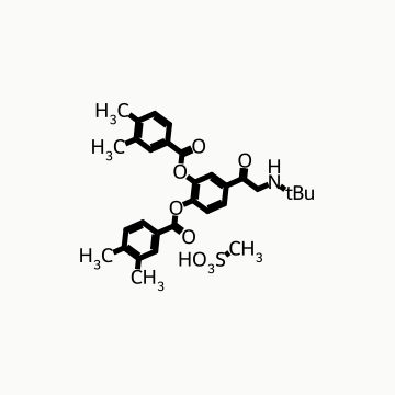 CS(=O)(=O)O.Cc1ccc(C(=O)Oc2ccc(C(=O)CNC(C)(C)C)cc2OC(=O)c2ccc(C)c(C)c2)cc1C